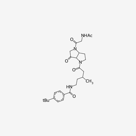 CC(=O)NCC(=O)N1CC(=O)C2C1CCN2C(=O)CC(C)CCNC(=O)c1ccc(C(C)(C)C)cc1